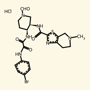 CN1CCc2nc(C(=O)N[C@@H]3CN(C=O)CC[C@@H]3NC(=O)C(=O)Nc3ccc(Br)cc3)sc2C1.Cl